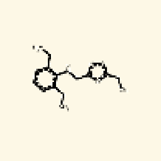 CCc1nnc(CNc2c(CC)cccc2CC)o1